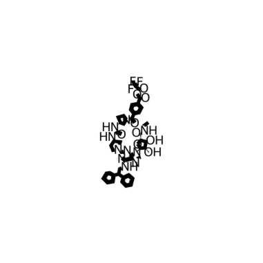 CCNC(=O)[C@H]1O[C@@H](n2cnc3c(NCC(c4ccccc4)c4ccccc4)nc(N4CC[C@@H](NC(=O)N[C@@H]5CCN(C(=O)c6ccc(C(=O)OC(=O)C(F)(F)F)cc6)C5)C4)nc32)[C@@H](O)[C@@H]1O